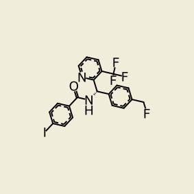 O=C(N[C@@H](c1ccc(CF)cc1)c1ncccc1C(F)(F)F)c1ccc(I)cc1